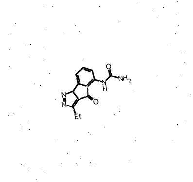 CCC1=C2C(=O)c3c(NC(N)=O)cccc3C2N=N1